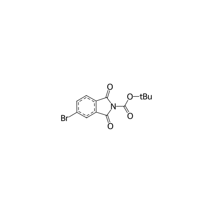 CC(C)(C)OC(=O)N1C(=O)c2ccc(Br)cc2C1=O